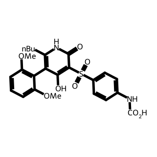 CCCCc1[nH]c(=O)c(S(=O)(=O)c2ccc(NC(=O)O)cc2)c(O)c1-c1c(OC)cccc1OC